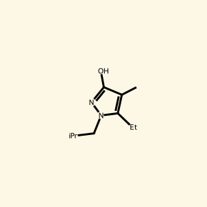 CCc1c(C)c(O)nn1CC(C)C